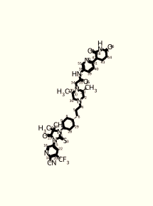 C[C@@H]1CN(CCC[C@H]2CC[C@H](N3C(=S)N(c4cnc(C#N)c(C(F)(F)F)c4)C(=O)C3(C)C)CC2)C[C@H](C)N1CC(=O)Nc1ccc(C2CCC(=O)NC2=O)nc1